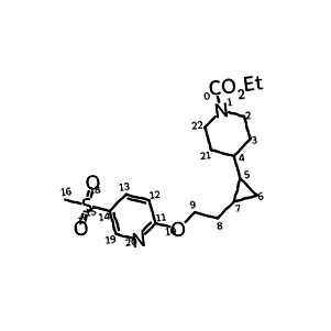 CCOC(=O)N1CCC(C2CC2CCOc2ccc(S(C)(=O)=O)cn2)CC1